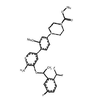 COc1cc(N2CCN(C(=O)OC(C)(C)C)CC2)ccc1-c1cnc(N)c(OC(C)c2cc(F)ccc2C(F)F)c1